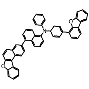 C1=CC(N(c2ccccc2)c2cccc3c(-c4ccc5c(ccc6oc7ccccc7c65)c4)cccc23)CC=C1c1cccc2c1oc1ccccc12